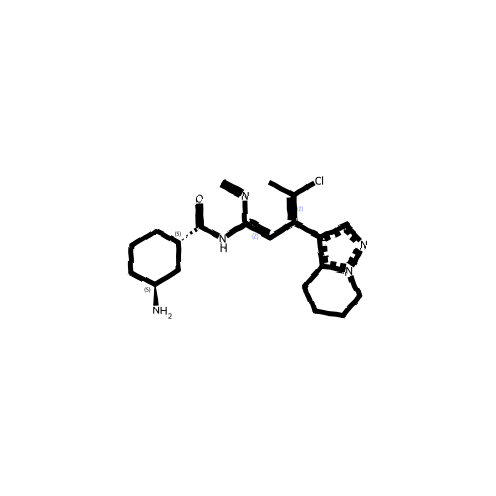 C=N/C(=C\C(=C(/C)Cl)c1cnn2c1CCCC2)NC(=O)[C@H]1CCC[C@H](N)C1